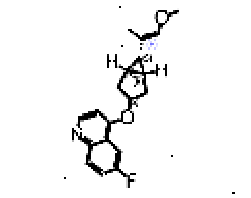 CO/C=C(\C)[C@@H]1[C@@H]2C[C@@H](Oc3ccnc4ccc(F)cc34)C[C@@H]21